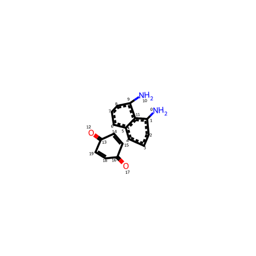 Nc1cccc2cccc(N)c12.O=C1C=CC(=O)C=C1